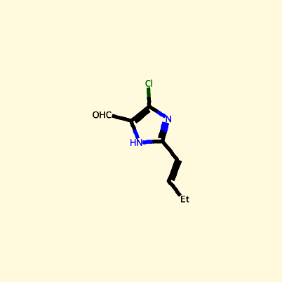 CCC=Cc1nc(Cl)c(C=O)[nH]1